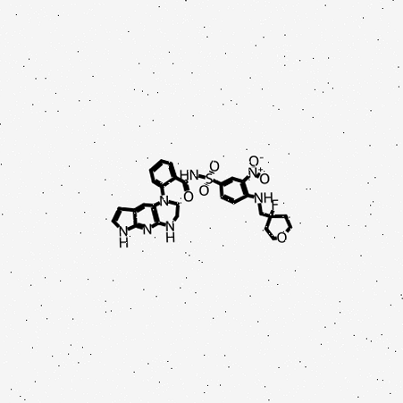 O=C(NS(=O)(=O)c1ccc(NCC2(F)CCOCC2)c([N+](=O)[O-])c1)c1ccccc1N1CCNc2nc3[nH]ccc3cc21